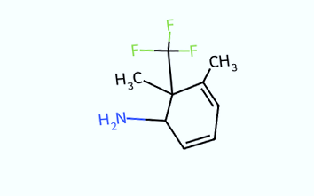 CC1=CC=CC(N)C1(C)C(F)(F)F